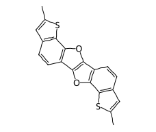 Cc1cc2ccc3c4oc5c(ccc6cc(C)sc65)c4oc3c2s1